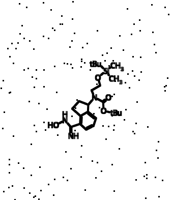 CC(C)(C)OC(=O)N(CCO[Si](C)(C)C(C)(C)C)C1CCc2c(C(=N)NO)cccc21